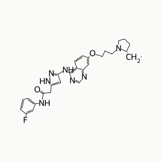 [CH2][C@H]1CCCN1CCCOc1ccc2c(Nc3cc(CC(=O)Nc4cccc(F)c4)[nH]n3)ncnc2c1